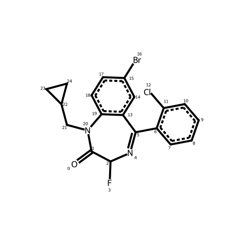 O=C1C(F)N=C(c2ccccc2Cl)c2cc(Br)ccc2N1CC1CC1